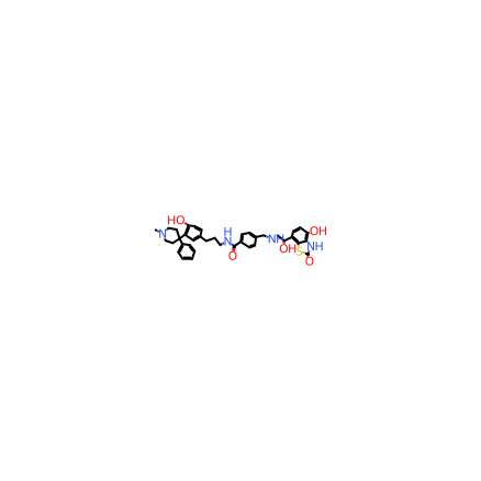 CN1CCC(c2ccccc2)(c2cc(CCCNC(=O)c3ccc(CNC[C@H](O)c4ccc(O)c5[nH]c(=O)sc45)cc3)ccc2O)CC1